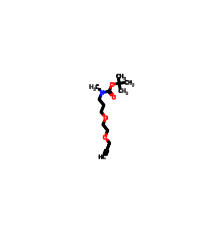 C#CCOCCOCCCN(C)C(=O)OC(C)(C)C